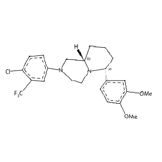 COc1ccc([C@H]2CCC[C@H]3CN(c4ccc(Cl)c(C(F)(F)F)c4)CCN32)cc1OC